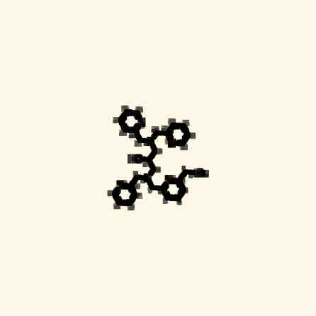 CC(C)(C)Cc1cccc(CN(Cc2ccccn2)CC(O)CN(Cc2ccccn2)Cc2ccccn2)n1